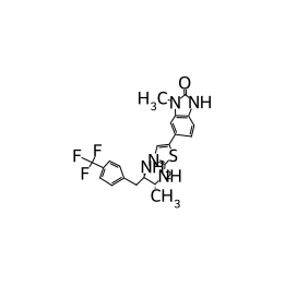 C[C@@H](Nc1ncc(-c2ccc3[nH]c(=O)n(C)c3c2)s1)[C@H](N)Cc1ccc(C(F)(F)F)cc1